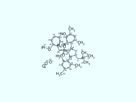 Cc1cc(C)c(N2CC(C[N+](C)(C)C)N(c3c(C)cc(C)cc3C)[C]2=[Ru+2]([Cl])([Cl])=[CH]c2cc([N+](=O)[O-])ccc2OC(C)C)c(C)c1.[Cl-].[Cl-].[Cl-]